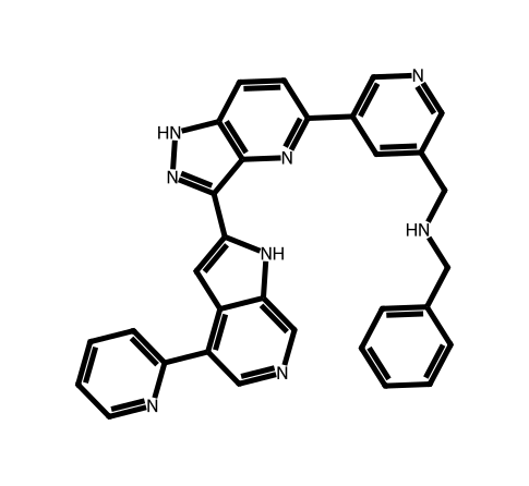 c1ccc(CNCc2cncc(-c3ccc4[nH]nc(-c5cc6c(-c7ccccn7)cncc6[nH]5)c4n3)c2)cc1